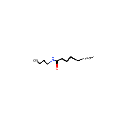 CCCCCCCCCCCC(=O)NCCCN=O